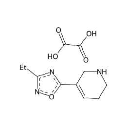 CCc1noc(C2=CCCNC2)n1.O=C(O)C(=O)O